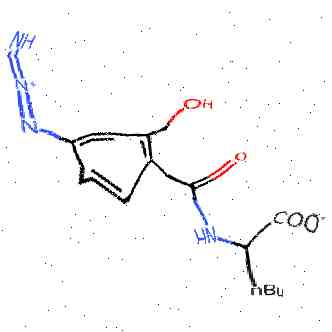 CCCCC(NC(=O)c1ccc(N=[N+]=N)cc1O)C(=O)[O-]